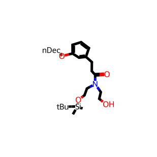 CCCCCCCCCCOc1cccc(CCC(=O)N(CCO)CCO[Si](C)(C)C(C)(C)C)c1